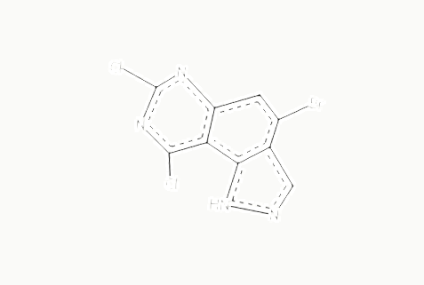 Clc1nc(Cl)c2c(cc(Br)c3cn[nH]c32)n1